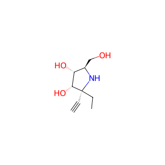 C#C[C@@]1(CC)N[C@H](CO)[C@@H](O)[C@H]1O